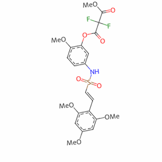 COC(=O)C(F)(F)C(=O)Oc1cc(NS(=O)(=O)/C=C/c2c(OC)cc(OC)cc2OC)ccc1OC